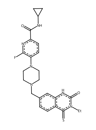 CCn1c(=O)[nH]c2cc(CN3CCN(c4ccc(C(=O)NC5CC5)nc4F)CC3)ccc2c1=S